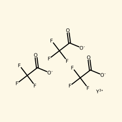 O=C([O-])C(F)(F)F.O=C([O-])C(F)(F)F.O=C([O-])C(F)(F)F.[Y+3]